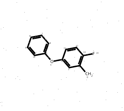 [CH2]c1cc(Oc2ccccc2)ccc1F